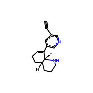 C#Cc1cncc(C2=CCC[C@H]3CCCN[C@@H]23)c1